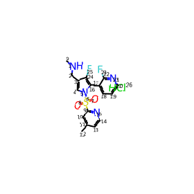 CNCc1cn(S(=O)(=O)c2cc(C)ccn2)c(-c2cccnc2F)c1F.Cl